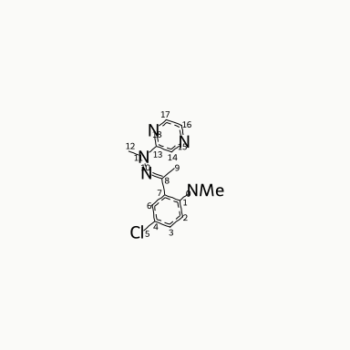 CNc1ccc(Cl)cc1/C(C)=N/N(C)c1cnccn1